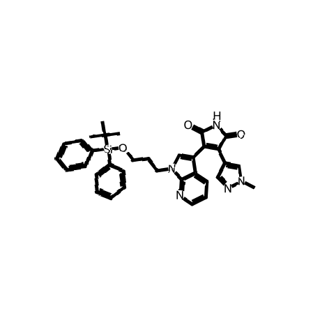 Cn1cc(C2=C(c3cn(CCCO[Si](c4ccccc4)(c4ccccc4)C(C)(C)C)c4ncccc34)C(=O)NC2=O)cn1